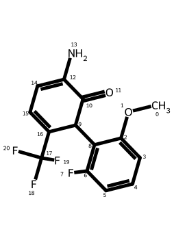 COc1cccc(F)c1C1C(=O)C(N)=CC=C1C(F)(F)F